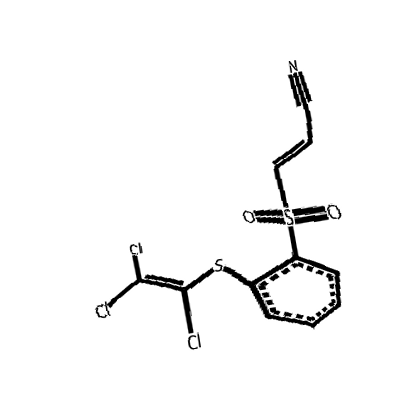 N#CC=CS(=O)(=O)c1ccccc1SC(Cl)=C(Cl)Cl